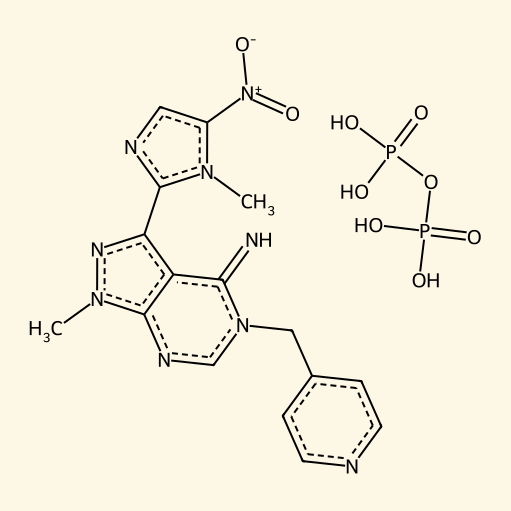 Cn1c([N+](=O)[O-])cnc1-c1nn(C)c2ncn(Cc3ccncc3)c(=N)c12.O=P(O)(O)OP(=O)(O)O